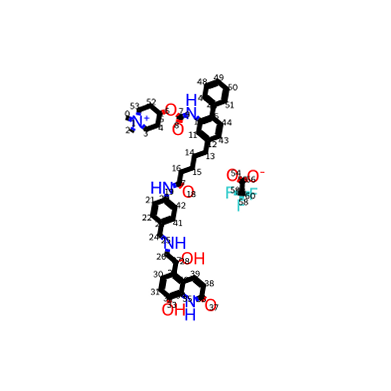 C[N+]1(C)CCC(OC(=O)Nc2cc(CCCCC(=O)Nc3ccc(CNC[C@H](O)c4ccc(O)c5[nH]c(=O)ccc45)cc3)ccc2-c2ccccc2)CC1.O=C([O-])C(F)(F)F